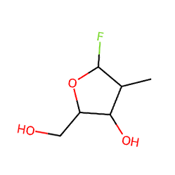 CC1C(F)OC(CO)C1O